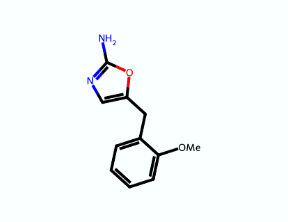 COc1ccccc1Cc1cnc(N)o1